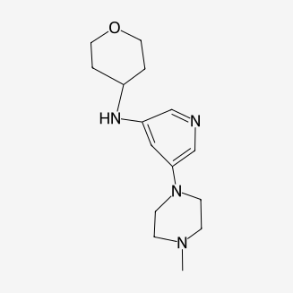 CN1CCN(c2cncc(NC3CCOCC3)c2)CC1